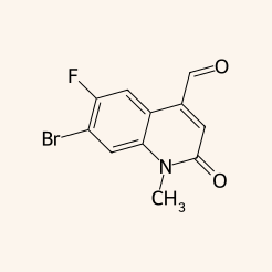 Cn1c(=O)cc(C=O)c2cc(F)c(Br)cc21